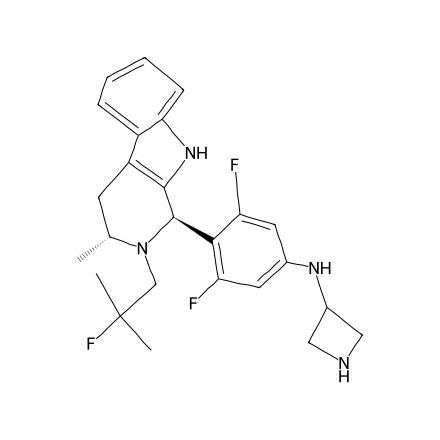 C[C@@H]1Cc2c([nH]c3ccccc23)[C@@H](c2c(F)cc(NC3CNC3)cc2F)N1CC(C)(C)F